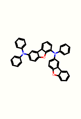 c1ccc(N(c2ccccc2)c2ccc3oc4c(N(c5ccccc5)c5ccc6oc7ccccc7c6c5)cccc4c3c2)cc1